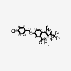 Cn1nc(C(F)(F)F)cc1-c1ccc(OCc2ccc(Cl)cc2)cc1C(N)=O